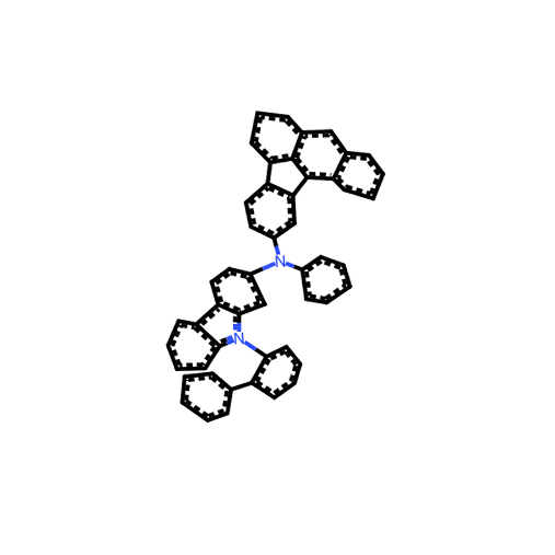 c1ccc(-c2ccccc2-n2c3ccccc3c3ccc(N(c4ccccc4)c4ccc5c(c4)-c4c6ccccc6cc6cccc-5c46)cc32)cc1